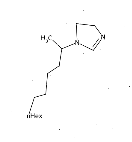 CCCCCCCCCCC(C)N1C=NCC1